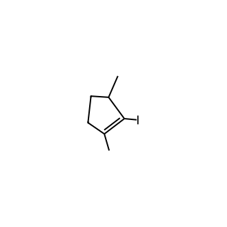 CC1=C(I)C(C)CC1